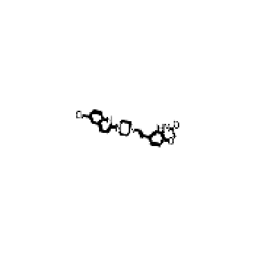 O=C1COc2ccc(CCN3CCN(c4ccc5cc(Cl)ccc5n4)CC3)cc2N1